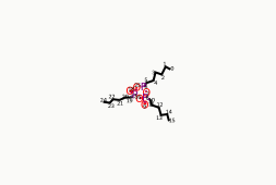 CCCCCCP1OP(=O)(CCCCCC)OP(=O)(CCCCCC)O1